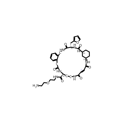 NCCOCCNC(=O)[C@@H]1CCNC(=O)/C=C/C(=O)N[C@H]2CCC[C@@H](C2)C(=O)N[C@@H](Cc2ccco2)C(=O)NCc2ccccc2CC(=O)N1